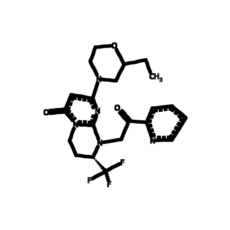 CCC1CN(c2cc(=O)n3c(n2)N(CC(=O)c2ccccn2)[C@H](C(F)(F)F)CC3)CCO1